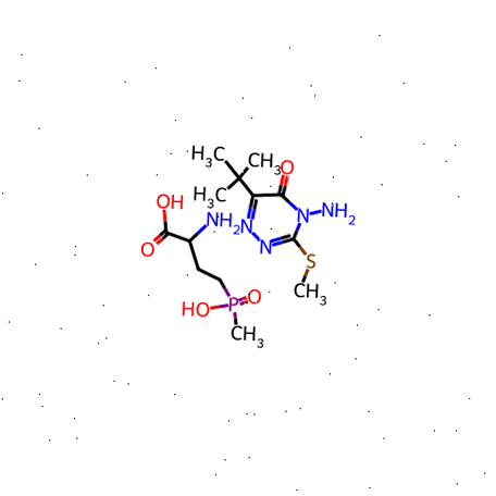 CP(=O)(O)CCC(N)C(=O)O.CSc1nnc(C(C)(C)C)c(=O)n1N